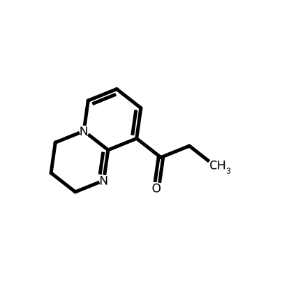 CCC(=O)C1=CC=CN2CCCN=C12